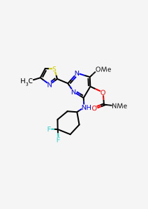 CNC(=O)Oc1c(NC2CCC(F)(F)CC2)nc(-c2nc(C)cs2)nc1OC